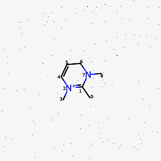 CC1=[N+](C)C=CCN1C